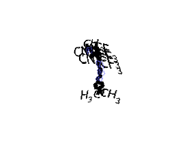 [C-]#[N+]C1=C(C(=C/C=C/C=C/c2ccc(N(C)C)cc2)/C(F)(F)F)C(C(F)(F)F)(C(F)(F)F)O/C1=C(\C)[N+]#[C-]